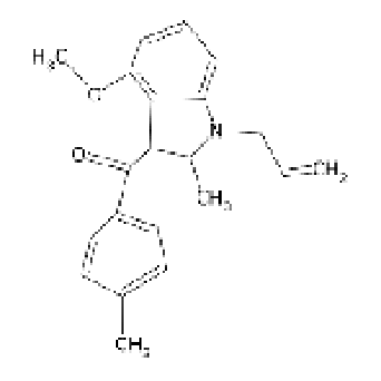 C=CCN1c2cccc(OC)c2C(C(=O)c2ccc(C)cc2)C1C